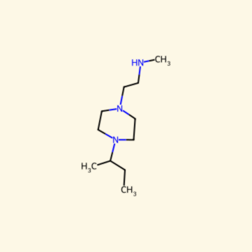 CCC(C)N1CCN(CCNC)CC1